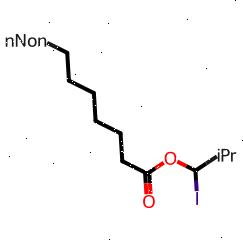 CCCCCCCCCCCCCCCC(=O)OC(I)C(C)C